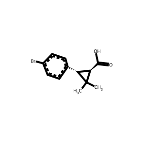 CC1(C)[C@H](C(=O)O)[C@H]1c1ccc(Br)cc1